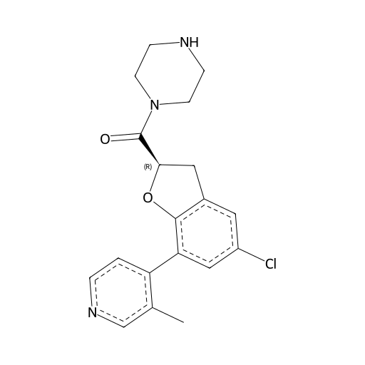 Cc1cnccc1-c1cc(Cl)cc2c1O[C@@H](C(=O)N1CCNCC1)C2